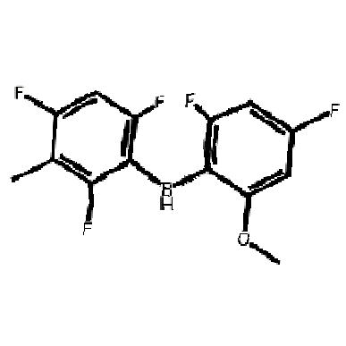 COc1cc(F)cc(F)c1Bc1c(F)cc(F)c(C)c1F